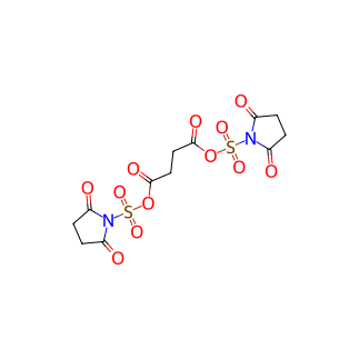 O=C(CCC(=O)OS(=O)(=O)N1C(=O)CCC1=O)OS(=O)(=O)N1C(=O)CCC1=O